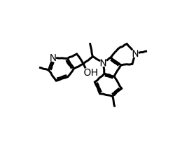 Cc1ccc2c(c1)c1c(n2C(C)C2(O)Cc3nc(C)ccc32)CCN(C)C1